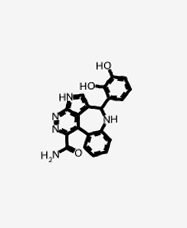 NC(=O)c1nnc2[nH]cc3c2c1-c1ccccc1NC3c1cccc(O)c1O